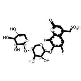 O=c1cc(CS(=O)(=O)O)c2cc(F)c(O[C@@H]3OC[C@@H](O[C@@H]4OC[C@@H](O)C(O)[C@@H]4O)C(O)[C@@H]3O)c(F)c2o1